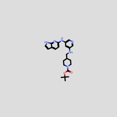 CC(C)(C)OC(=O)N1CCC(CNc2cncc(Nc3ccc4cc[nH]c4n3)c2)CC1